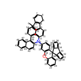 CC1(C)C2=C(CCC=C2)c2ccc(N(c3ccc4c(c3)Oc3ccccc3C43c4ccccc4-c4ccccc43)c3ccc4ccccc4c3-c3ccccc3)cc21